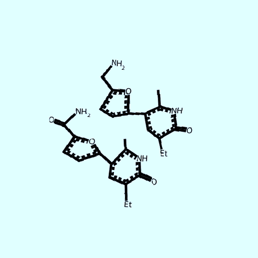 CCc1cc(-c2ccc(C(N)=O)o2)c(C)[nH]c1=O.CCc1cc(-c2ccc(CN)o2)c(C)[nH]c1=O